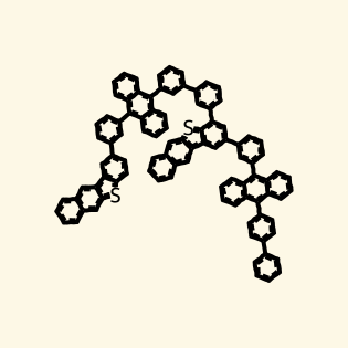 c1ccc(-c2ccc(-c3c4ccccc4c(-c4cccc(-c5cc(-c6cccc(-c7cccc(-c8c9ccccc9c(-c9cccc(-c%10ccc%11sc%12cc%13ccccc%13cc%12c%11c%10)c9)c9ccccc89)c7)c6)c6sc7cc8ccccc8cc7c6c5)c4)c4ccccc34)cc2)cc1